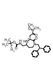 CON(C)C(=O)C[C@@H]1NC(CNC(=O)OC(C)(C)C)CCN(CC(c2ccccc2)c2ccccc2)C1=O